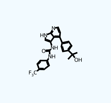 CC(C)(O)c1ccc(-c2ccnc3[nH]cc(NC(=O)Nc4ccc(C(F)(F)F)cc4)c23)cc1